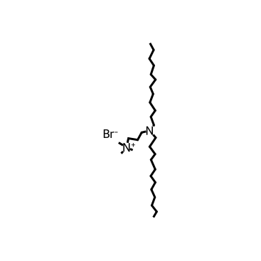 CCCCCCCCCCCCN(CCCCCCCCCCCC)CCC[N+](C)(C)C.[Br-]